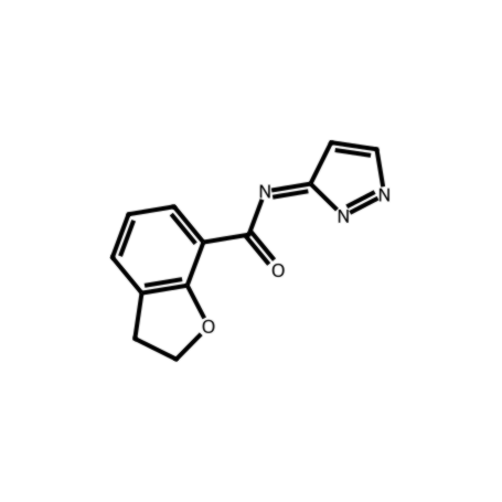 O=C(N=C1C=CN=N1)c1cccc2c1OCC2